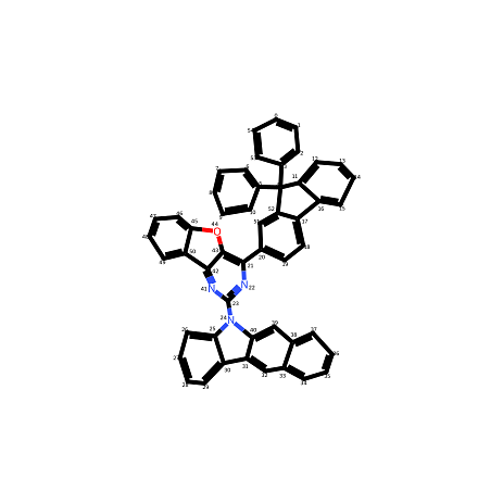 c1ccc(C2(c3ccccc3)c3ccccc3-c3ccc(-c4nc(-n5c6ccccc6c6cc7ccccc7cc65)nc5c4oc4ccccc45)cc32)cc1